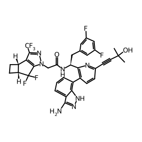 CC(C)(O)C#Cc1ccc(-c2cccc3c(N)n[nH]c23)c([C@H](Cc2cc(F)cc(F)c2)NC(=O)Cn2nc(C(F)(F)F)c3c2C(F)(F)[C@@H]2CC[C@H]32)n1